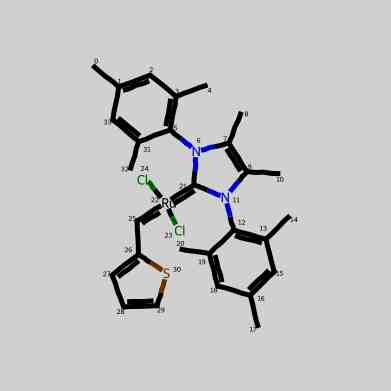 Cc1cc(C)c(-n2c(C)c(C)n(-c3c(C)cc(C)cc3C)[c]2=[Ru]([Cl])([Cl])=[CH]c2cccs2)c(C)c1